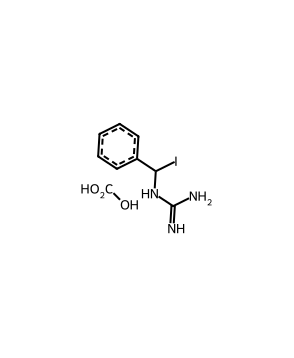 N=C(N)NC(I)c1ccccc1.O=C(O)O